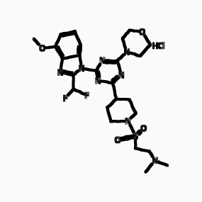 COc1cccc2c1nc(C(F)F)n2-c1nc(C2CCN(S(=O)(=O)CCN(C)C)CC2)nc(N2CCOCC2)n1.Cl